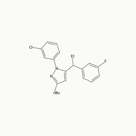 [CH2]CC(c1cccc(F)c1)c1cc(CCCC)nn1-c1cccc(Cl)c1